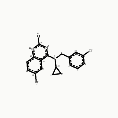 Clc1cccc(CN(c2nc(Cl)nc3ccc(Br)cc23)C2CC2)c1